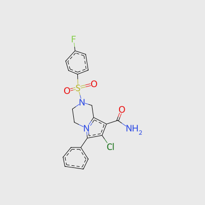 NC(=O)c1c(Cl)c(-c2ccccc2)n2c1CN(S(=O)(=O)c1ccc(F)cc1)CC2